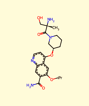 CC(C)Oc1cc2c(O[C@@H]3CCCN(C(=O)[C@@](C)(N)CO)C3)ccnc2cc1C(N)=O